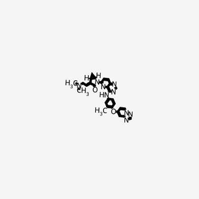 Cc1cc(Nc2ncnc3ccc(N4C(=O)/C(=C/CN(C)C)[C@@H]5C[C@@H]54)nc23)ccc1Oc1ccn2ncnc2c1